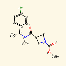 CN(C(=O)C1CN(C(=O)OC(C)(C)C)C1)[C@@H](c1ccc(Br)cc1)C(F)(F)F